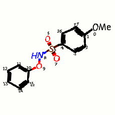 COc1ccc(S(=O)(=O)NOc2ccccc2)cc1